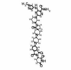 Cn1cc(Nc2nc(N3CCC[C@@H](N4CCC5(CCN(C6CCN(c7ccc8c(c7)C(=O)N(C7CCC(=O)NC7=O)C8=O)CC6)CC5)C4=O)C3)cnc2C(N)=O)cn1